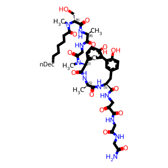 CCCCCCCCCCCCCCCC(=O)N(C)[C@H](CO)C(=O)N[C@H](C)C(=O)NCC(=O)N(C)[C@@H]1C(=O)N[C@@H](C)C(=O)N[C@H](C(=O)NCC(=O)C(=O)NCC(=O)NCC(N)=O)Cc2ccc(O)c(c2)-c2cc1ccc2O